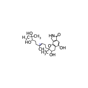 C/C(=C\CCC1(C)Oc2c(c(O)cc3c2CNC3=O)CC1O)CCC(O)C(C)(C)O